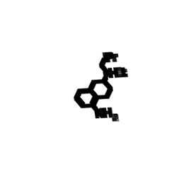 CCN(CC(C)C)C1CCc2c(N)cccc2C1